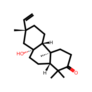 C=C[C@]1(C)CC[C@H]2[C@@](O)(CC[C@H]3C(C)(C)C(=O)CC[C@@]32C)C1